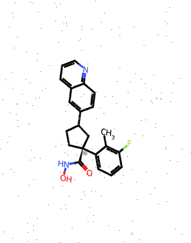 Cc1c(F)cccc1[C@]1(C(=O)NO)CCC(c2ccc3ncccc3c2)C1